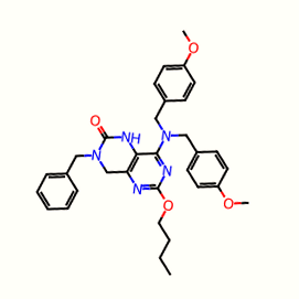 CCCCOc1nc2c(c(N(Cc3ccc(OC)cc3)Cc3ccc(OC)cc3)n1)NC(=O)N(Cc1ccccc1)C2